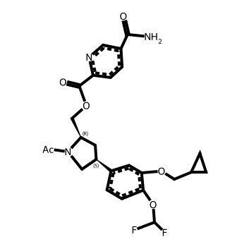 CC(=O)N1C[C@H](c2ccc(OC(F)F)c(OCC3CC3)c2)C[C@@H]1COC(=O)c1ccc(C(N)=O)cn1